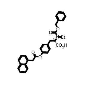 CCN(C(=O)OCc1ccccc1)[C@@H](Cc1ccc(OC(=O)Cc2cccc3ccccc23)cc1)C(=O)O